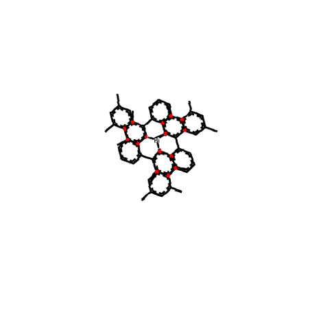 Cc1ccc(-c2cccc(-c3ccc(C)cc3C)c2[S][Bi]([S]c2c(-c3ccc(C)cc3C)cccc2-c2ccc(C)cc2C)[S]c2c(-c3ccc(C)cc3C)cccc2-c2ccc(C)cc2C)c(C)c1